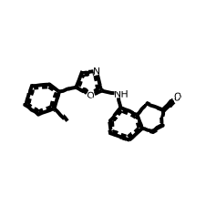 Cc1ccccc1-c1cnc(Nc2cccc3c2CC(=O)CC3)o1